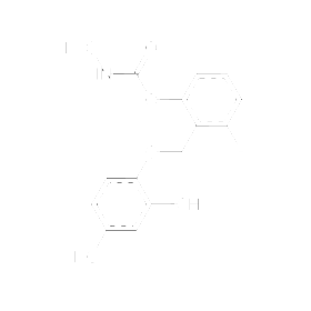 CNC(=O)Oc1cccc(F)c1COc1ccc(C)cc1C